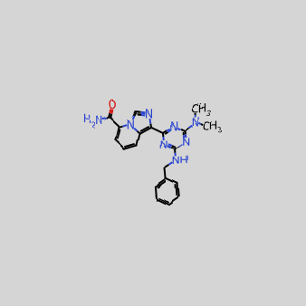 CN(C)c1nc(NCc2ccccc2)nc(-c2ncn3c(C(N)=O)cccc23)n1